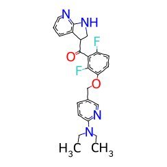 CCN(CC)c1ccc(COc2ccc(F)c(C(=O)C3CNc4ncccc43)c2F)cn1